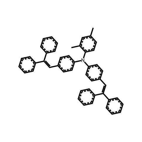 Cc1ccc(N(c2ccc(C=C(c3ccccc3)c3ccccc3)cc2)c2ccc(C=C(c3ccccc3)c3ccccc3)cc2)c(C)c1